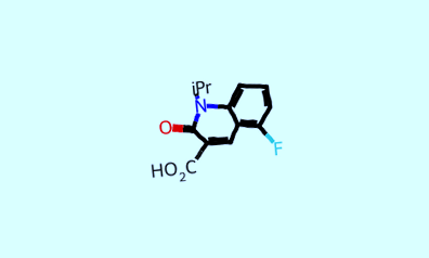 CC(C)n1c(=O)c(C(=O)O)cc2c(F)cccc21